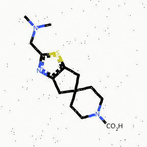 CN(C)Cc1nc2c(s1)CC1(CCN(C(=O)O)CC1)C2